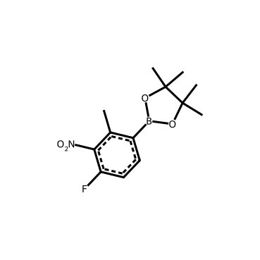 Cc1c(B2OC(C)(C)C(C)(C)O2)ccc(F)c1[N+](=O)[O-]